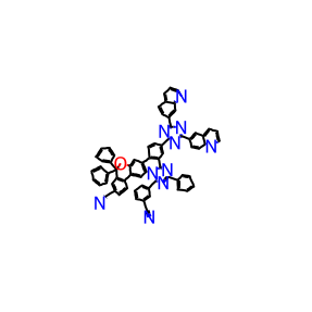 N#Cc1cccc(-c2nc(-c3ccccc3)nc(-c3cc(-c4nc(-c5ccc6ncccc6c5)nc(-c5ccc6cccnc6c5)n4)ccc3-c3ccc4c(c3)OC(c3ccccc3)(c3ccccc3)c3cc(C#N)ccc3-4)n2)c1